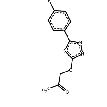 NC(=O)COc1nnc(-c2ccc(F)cc2)s1